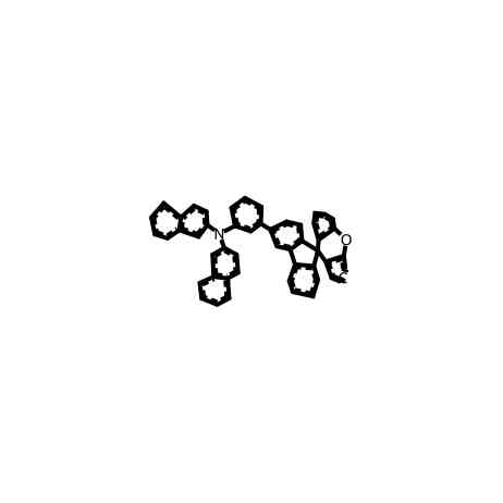 c1cc(-c2ccc3c(c2)-c2ccccc2C32c3ccccc3Oc3ccccc32)cc(N(c2ccc3ccccc3c2)c2ccc3ccccc3c2)c1